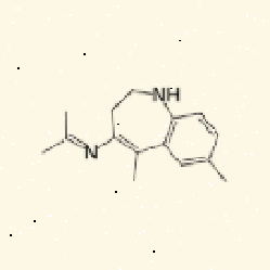 CC(C)=NC1=C(C)c2cc(C)ccc2NCC1